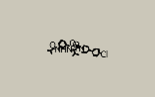 CC(C)C(=O)Nc1cccc(C(=O)N[C@@H](C(=O)N2CCC(c3ccc(Cl)cc3)CC2)C(C)C)c1